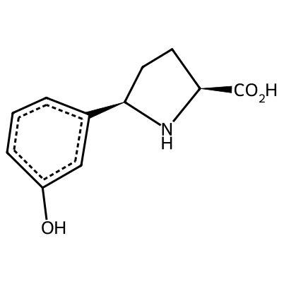 O=C(O)[C@@H]1CC[C@H](c2cccc(O)c2)N1